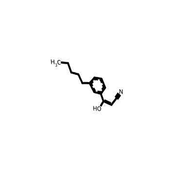 CCCCCc1cccc(/C(O)=C\C#N)c1